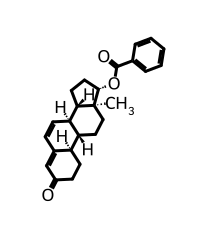 C[C@]12CC[C@H]3[C@@H](C=CC4=CC(=O)CC[C@@H]43)[C@@H]1CC[C@@H]2OC(=O)c1ccccc1